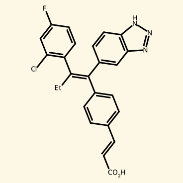 CCC(=C(c1ccc(C=CC(=O)O)cc1)c1ccc2[nH]nnc2c1)c1ccc(F)cc1Cl